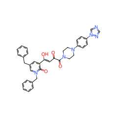 O=C(C=C(O)c1cc(Cc2ccccc2)cn(Cc2ccccc2)c1=O)C(=O)N1CCN(c2ccc(-n3cncn3)cc2)CC1